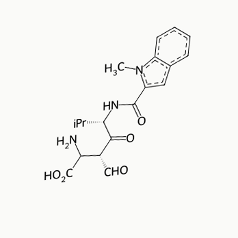 CC(C)[C@H](NC(=O)c1cc2ccccc2n1C)C(=O)[C@H](C=O)C(N)C(=O)O